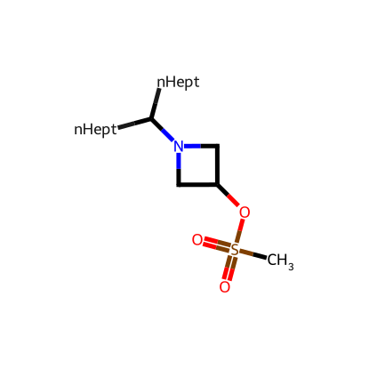 CCCCCCCC(CCCCCCC)N1CC(OS(C)(=O)=O)C1